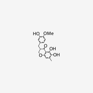 COc1ccc(CC2COc3cc(C)c(O)c(O)c3C2=O)cc1O